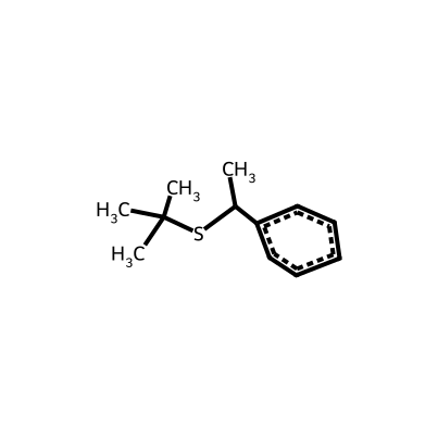 CC(SC(C)(C)C)c1ccccc1